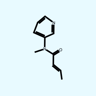 CC=CC(=O)N(C)c1cccnc1